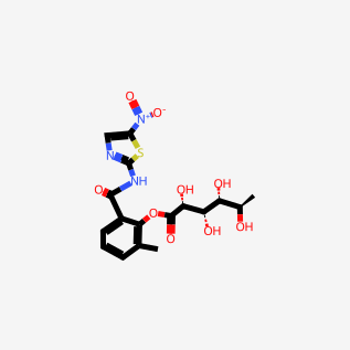 Cc1cccc(C(=O)Nc2ncc([N+](=O)[O-])s2)c1OC(=O)[C@H](O)[C@@H](O)[C@H](O)[C@@H](C)O